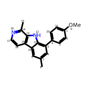 COc1ccc(-c2cc(C)cc3c2[nH]c2c(C)nccc23)cc1